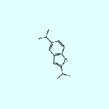 CC(C)c1ccc2oc(C(C)C)cc2c1